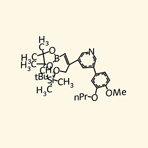 CCCOc1cc(-c2cncc(/C(=C/B3OC(C)(C)C(C)(C)O3)CO[Si](C)(C)C(C)(C)C)c2)ccc1OC